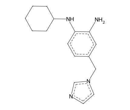 Nc1cc(Cn2ccnc2)ccc1NC1CCCCC1